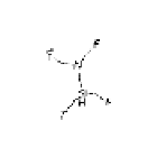 FN(F)[SiH](F)F